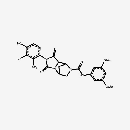 COc1cc(NC(=O)N2CC3CC2C2C(=O)N(c4ccc(C#N)c(Cl)c4C)C(=O)N32)cc(OC)c1